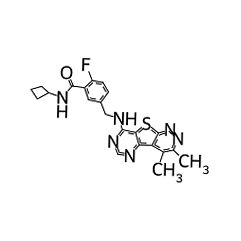 Cc1nnc2sc3c(NCc4ccc(F)c(C(=O)NC5CCC5)c4)ncnc3c2c1C